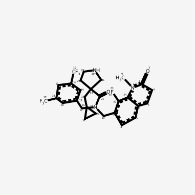 Cn1c(=O)ccc2ccc(CN(Cc3cc(C(F)(F)F)cc(C(F)(F)F)c3)C(=O)C3(CC4CC4)CCNC3)c(F)c21